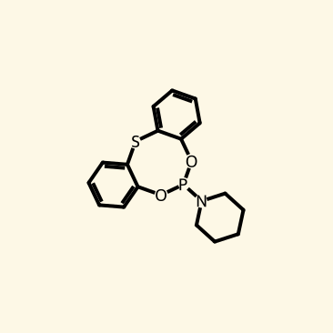 c1ccc2c(c1)OP(N1CCCCC1)Oc1ccccc1S2